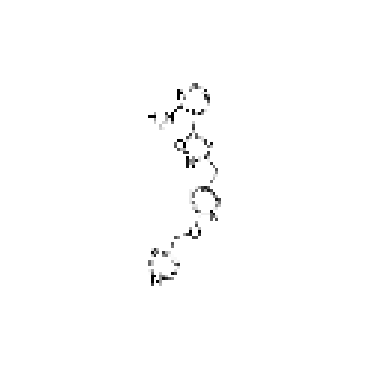 Nc1ncccc1-c1cc(Cc2ccc(OCc3ccncc3)nc2)no1